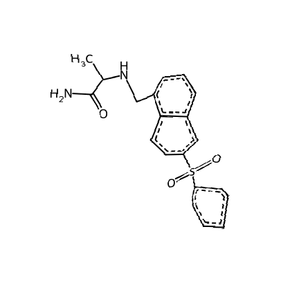 CC(NCc1cccc2cc(S(=O)(=O)c3ccccc3)ccc12)C(N)=O